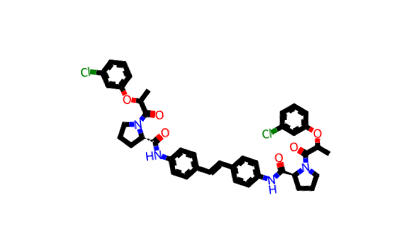 CC(Oc1cccc(Cl)c1)C(=O)N1CCC[C@H]1C(=O)Nc1ccc(/C=C/c2ccc(NC(=O)[C@@H]3CCCN3C(=O)C(C)Oc3cccc(Cl)c3)cc2)cc1